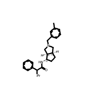 Cc1cccc(CN2C[C@H]3CC[C@H](NC(=O)C(c4ccccc4)C(C)C)[C@H]3C2)c1